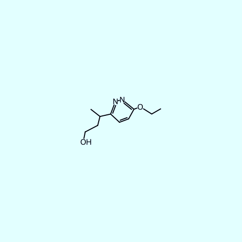 CCOc1ccc(C(C)CCO)nn1